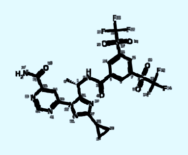 C[C@H](NC(=O)c1cc(S(=O)(=O)C(F)(F)F)cc(S(=O)(=O)C(F)(F)F)c1)c1nc(C2CC2)nn1-c1cc(C(N)=O)ncn1